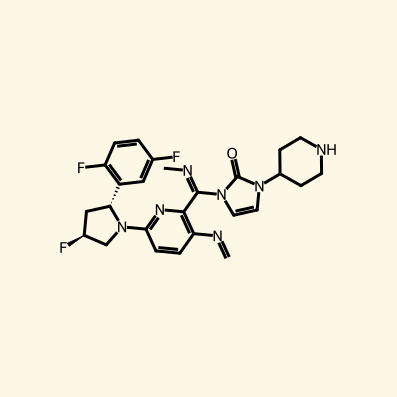 C=Nc1ccc(N2C[C@@H](F)C[C@@H]2c2cc(F)ccc2F)nc1/C(=N\C)n1ccn(C2CCNCC2)c1=O